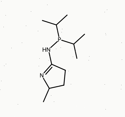 CC1CCC(NP(C(C)C)C(C)C)=N1